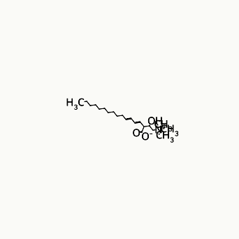 CCCCCCCCCCC=CC=CC(C(=O)[O-])C(O)C[N+](C)(C)C